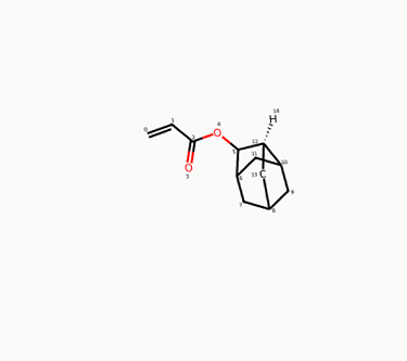 C=CC(=O)OC1C2CC3CC(C2)[C@H]1C3